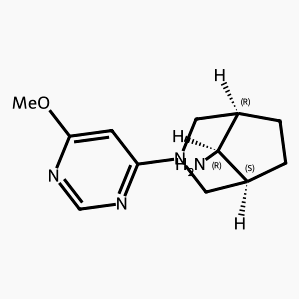 COc1cc(N2C[C@H]3CC[C@@H](C2)[C@H]3N)ncn1